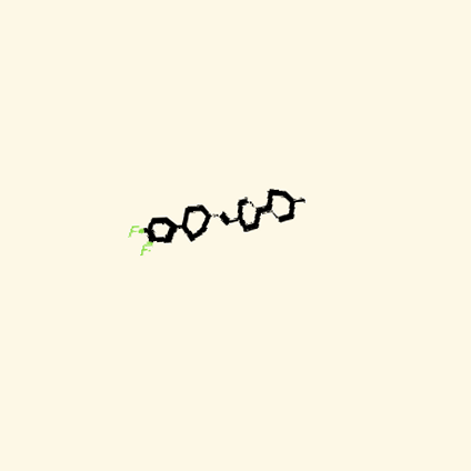 C[C@H]1CC[C@H]([C@H]2CC[C@H](C=C[C@H]3CC[C@H](c4ccc(F)c(F)c4)CC3)CC2)CC1